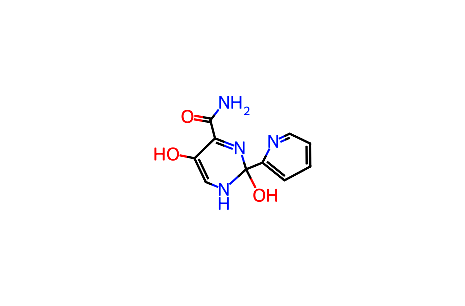 NC(=O)C1=NC(O)(c2ccccn2)NC=C1O